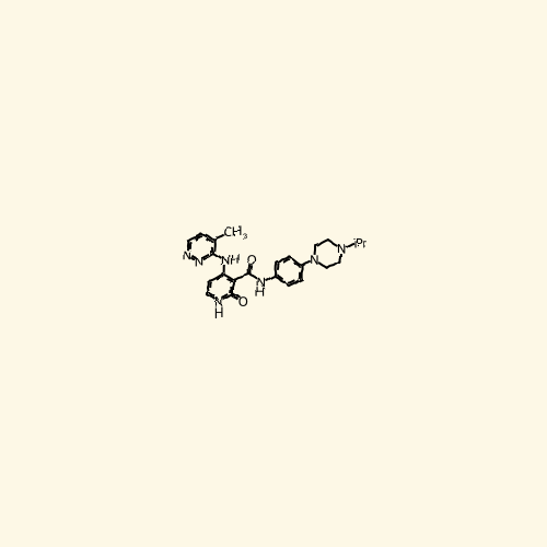 Cc1ccnnc1Nc1cc[nH]c(=O)c1C(=O)Nc1ccc(N2CCN(C(C)C)CC2)cc1